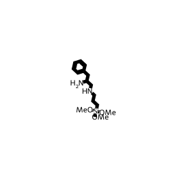 CO[Si](CCCNCC(N)Cc1ccccc1)(OC)OC